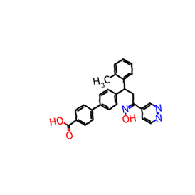 Cc1ccccc1C(CC(=NO)c1ccnnc1)c1ccc(-c2ccc(C(=O)O)cc2)cc1